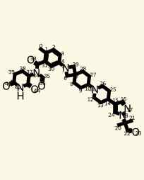 Cc1ccc(N2CC3(CCC(N4CCC(c5cnn(C(C)(C)C=O)c5)CC4)CC3)C2)cc1C(=O)N(C=O)C1CCC(=O)NC1=O